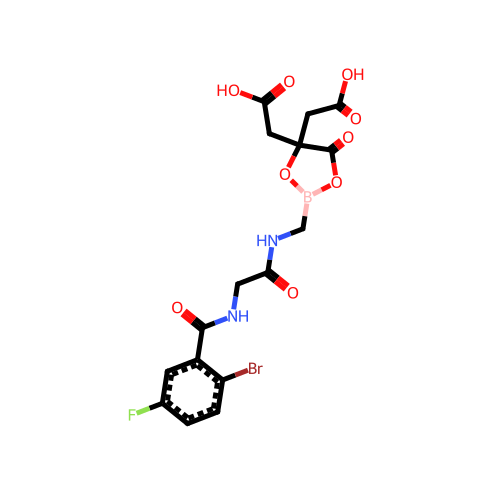 O=C(O)CC1(CC(=O)O)OB(CNC(=O)CNC(=O)c2cc(F)ccc2Br)OC1=O